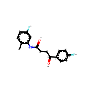 Cc1ccc(F)cc1NC(=O)CCC(=O)c1ccc(F)cc1